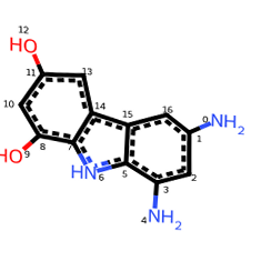 Nc1cc(N)c2[nH]c3c(O)cc(O)cc3c2c1